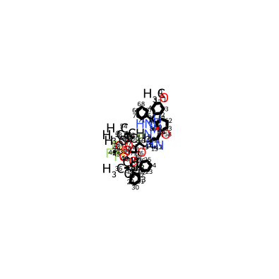 COc1ccc(C(Nc2nc3c(ncn3[C@@H]3O[C@@](CO[Si](c4ccccc4)(c4ccccc4)C(C)(C)C)(COS(=O)(=O)C(F)(F)F)[C@@H](O[Si](C)(C)C(C)(C)C)[C@@H]3F)c(=O)[nH]2)(c2ccccc2)c2ccccc2)cc1